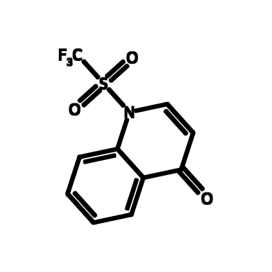 O=c1ccn(S(=O)(=O)C(F)(F)F)c2ccccc12